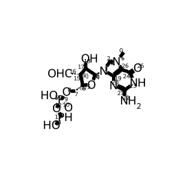 C[n+]1cn([C@@H]2O[C@H](COP(=O)(O)OPO)[C@H](C=O)C2O)c2nc(N)[nH]c(=O)c21